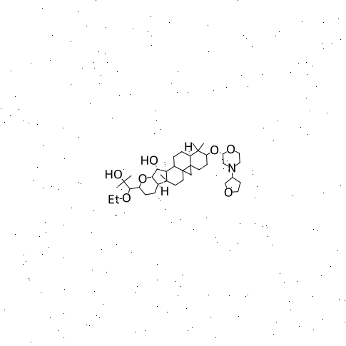 CCOC(C1C[C@@H](C)[C@H]2C(O1)[C@H](O)[C@@]1(C)C3CC[C@H]4C(C)(C)C(O[C@H]5CN(C6CCOC6)CCO5)CCC45CC35CCC21C)C(C)(C)O